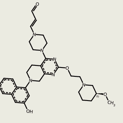 CO[C@H]1CCCN(CCOc2nc3c(c(N4CCN(C=CC=O)CC4)n2)CCN(c2cc(O)cc4ccccc24)C3)C1